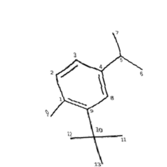 [CH2]c1ccc(C(C)C)cc1C(C)(C)C